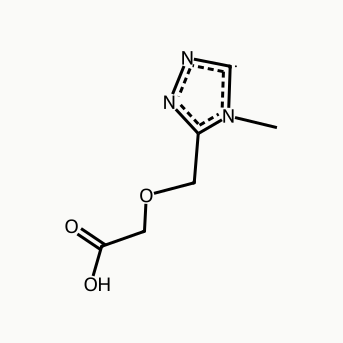 Cn1[c]nnc1COCC(=O)O